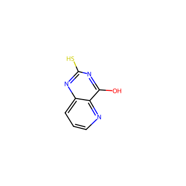 Oc1nc(S)nc2cccnc12